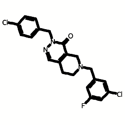 O=c1c2c(cnn1Cc1ccc(Cl)cc1)CCN(Cc1cc(F)cc(Cl)c1)C2